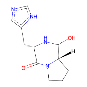 O=C1[C@H](Cc2cnc[nH]2)NC(O)[C@@H]2CCCN12